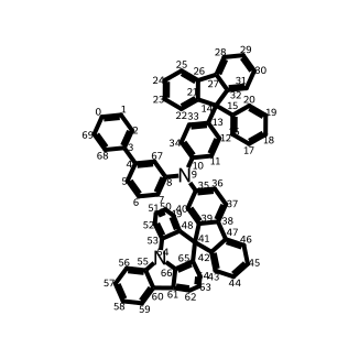 c1ccc(-c2cccc(N(c3ccc(C4(c5ccccc5)c5ccccc5-c5ccccc54)cc3)c3ccc4c(c3)C3(c5ccccc5-4)c4ccccc4-n4c5ccccc5c5cccc3c54)c2)cc1